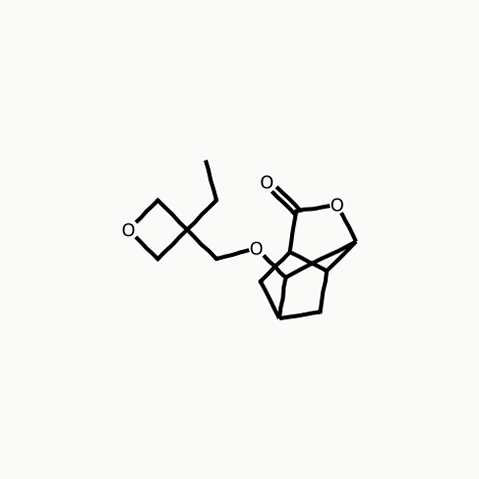 CCC1(COC2C3CC4C(=O)OC2C4C3)COC1